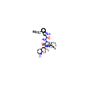 COc1cccc2[nH]c(C(=O)N[C@@H](C[Si](C)(C)C)C(=O)N[C@H](C#N)C[C@@H]3CCCNC3=O)cc12